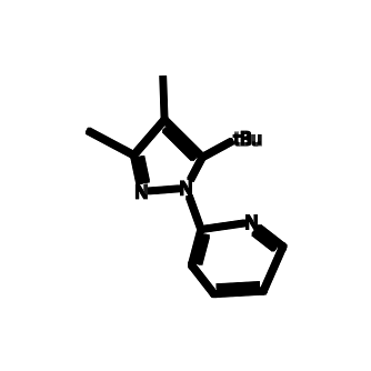 Cc1nn(-c2ccccn2)c(C(C)(C)C)c1C